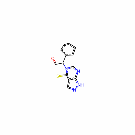 O=CC(c1ccccc1)n1cnc2[nH]ncc2c1=S